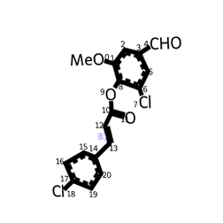 COc1cc(C=O)cc(Cl)c1OC(=O)/C=C/c1ccc(Cl)cc1